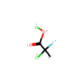 CC(F)(Cl)C(=O)OCl